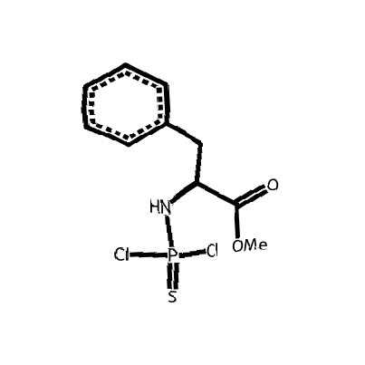 COC(=O)C(Cc1ccccc1)NP(=S)(Cl)Cl